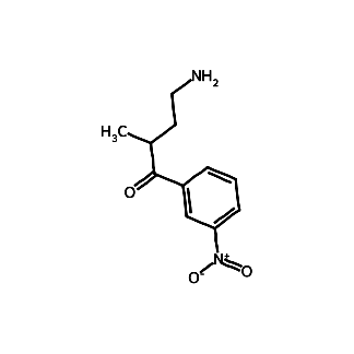 CC(CCN)C(=O)c1cccc([N+](=O)[O-])c1